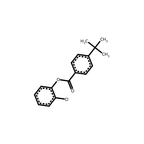 CC(C)(C)c1ccc(C(=O)Oc2ccccc2Cl)cc1